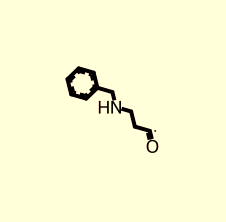 O=[C]CCNCc1ccccc1